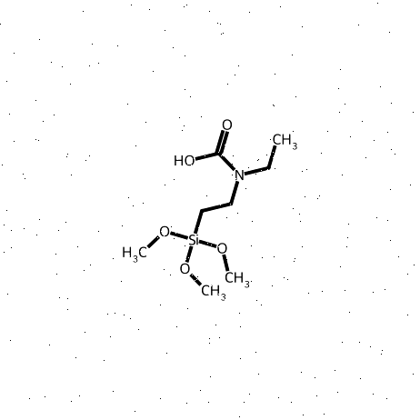 CCN(CC[Si](OC)(OC)OC)C(=O)O